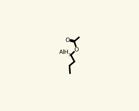 CCCCOC(C)=O.[AlH3]